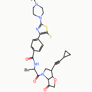 CCC(C)C(NC(=O)c1ccc(-c2nc(N3CCN(C)CC3)sc2F)cc1)C(=O)N1CC(C#CC2CC2)C2OCC(=O)C21